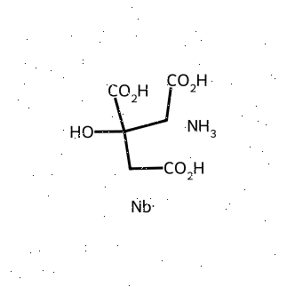 N.O=C(O)CC(O)(CC(=O)O)C(=O)O.[Nb]